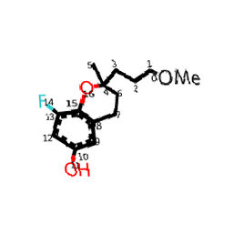 COCCCC1(C)CCc2cc(O)cc(F)c2O1